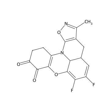 Cc1noc2c1CC1C=C(F)C(F)=C3OC4=C(CCC(=O)C4=O)N2C31